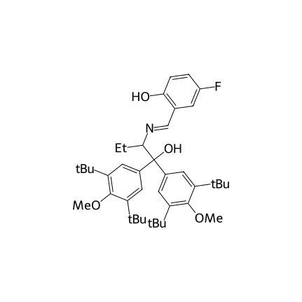 CCC(N=Cc1cc(F)ccc1O)C(O)(c1cc(C(C)(C)C)c(OC)c(C(C)(C)C)c1)c1cc(C(C)(C)C)c(OC)c(C(C)(C)C)c1